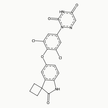 O=C1Nc2ccc(Oc3c(Cl)cc(-n4ncc(=O)[nH]c4=O)cc3Cl)cc2C12CCC2